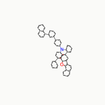 c1ccc(-c2ccc(N(c3ccc(-c4cccc(-c5cccc6ccccc56)c4)cc3)c3ccccc3-c3ccc4oc5c6ccccc6ccc5c4c3)cc2)cc1